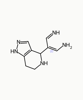 N=C/C(=C\N)C1NCCc2[nH]ncc21